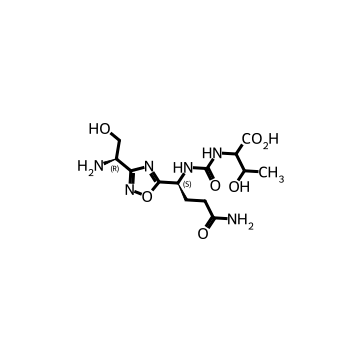 CC(O)C(NC(=O)N[C@@H](CCC(N)=O)c1nc([C@@H](N)CO)no1)C(=O)O